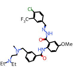 CCN(CC)CCN(C)Cc1cccc(C(=O)Nc2ccc(OC)cc2C(=O)NN=Cc2ccc(Cl)c(C(F)(F)F)c2)c1